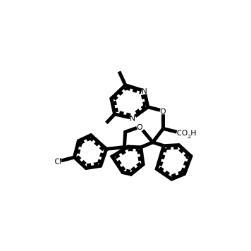 Cc1cc(C)nc(OC(C(=O)O)C(OCCc2ccc(Cl)cc2)(c2ccccc2)c2ccccc2)n1